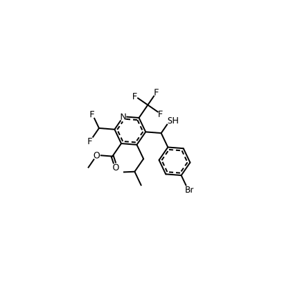 COC(=O)c1c(C(F)F)nc(C(F)(F)F)c(C(S)c2ccc(Br)cc2)c1CC(C)C